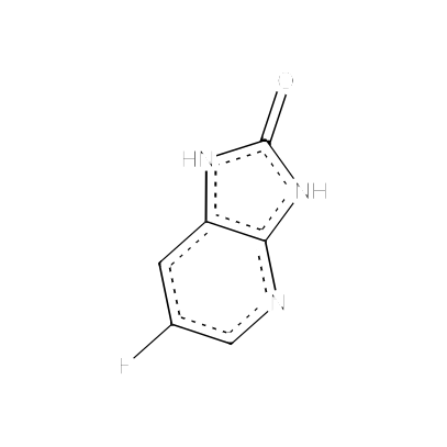 O=c1[nH]c2cc(F)cnc2[nH]1